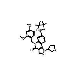 COc1ccc(Cn2c(=O)c3cnn(C4CCOC4)c3c3ccc(B4OC(C)(C)C(C)(C)O4)cc32)c(OC)c1